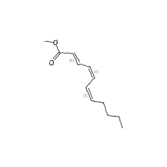 CCCC\C=C/C=C\C=C\C(=O)OC